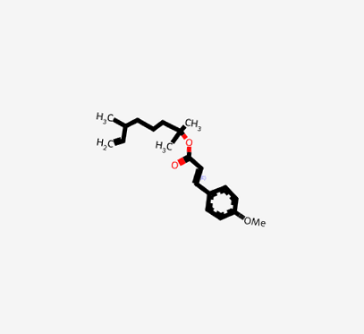 C=CC(C)CCCC(C)(C)OC(=O)/C=C/c1ccc(OC)cc1